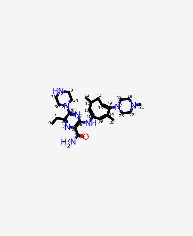 CCc1nc(C(N)=O)c(NC2=C/C(C)C/C=C(N3CCN(C)CC3)/C(C)=C\2)nc1N1CCNCC1